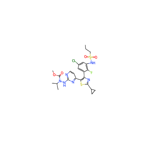 CCCS(=O)(=O)Nc1cc(Cl)cc(-c2nc(C3CC3)sc2-c2ccnc(NN(C(=O)OC)C(C)C)n2)c1F